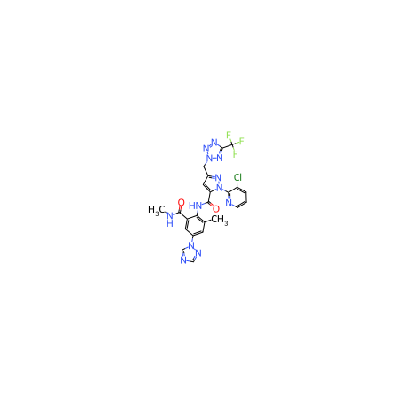 CNC(=O)c1cc(-n2cncn2)cc(C)c1NC(=O)c1cc(Cn2nnc(C(F)(F)F)n2)nn1-c1ncccc1Cl